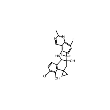 Cc1ncc2c(NC3c4ccc(Cl)c(O)c4C4(CC4)CC3(O)C(F)(F)F)ccc(F)c2n1